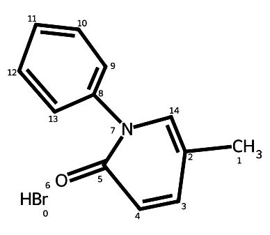 Br.Cc1ccc(=O)n(-c2ccccc2)c1